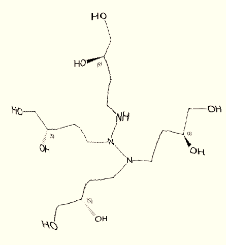 OC[C@@H](O)CCN(CC[C@H](O)CO)N(CC[C@H](O)CO)NCC[C@@H](O)CO